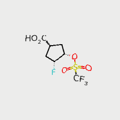 O=C(O)[C@@H]1C[C@@H](F)[C@@H](OS(=O)(=O)C(F)(F)F)C1